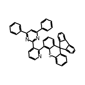 c1ccc(-c2cc(-c3ccccc3)nc(-c3cccnc3-c3cccc4c3Sc3ccccc3C43c4ccccc4-c4ccccc43)n2)cc1